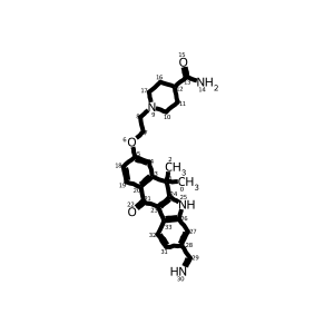 CC1(C)c2cc(OCCN3CCC(C(N)=O)CC3)ccc2C(=O)c2c1[nH]c1cc(C=N)ccc21